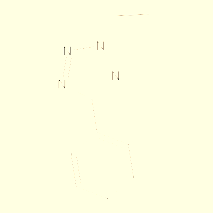 CCn1nnc(-c2ccc[c]c2C)n1